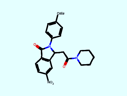 COc1ccc(N2C(=O)c3ccc([N+](=O)[O-])cc3C2CC(=O)N2CCCCC2)cc1